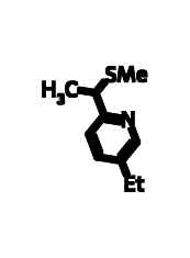 CCc1ccc(C(C)SC)nc1